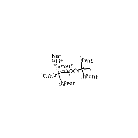 CCCCCC(C)(CCCCC)C(=O)[O-].CCCCCC(C)(CCCCC)C(=O)[O-].[Li+].[Na+]